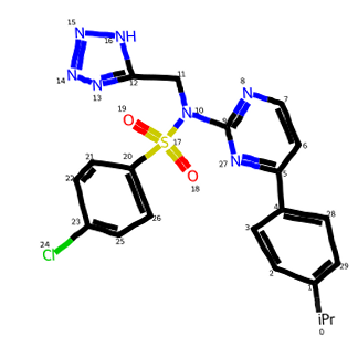 CC(C)c1ccc(-c2ccnc(N(Cc3nnn[nH]3)S(=O)(=O)c3ccc(Cl)cc3)n2)cc1